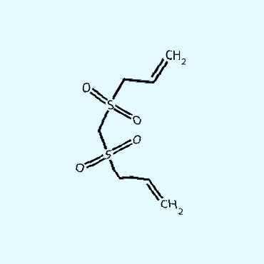 C=CCS(=O)(=O)CS(=O)(=O)CC=C